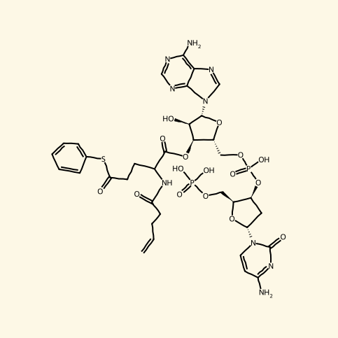 C=CCCC(=O)NC(CCC(=O)Sc1ccccc1)C(=O)O[C@H]1[C@@H](O)[C@H](n2cnc3c(N)ncnc32)O[C@@H]1COP(=O)(O)O[C@H]1C[C@H](n2ccc(N)nc2=O)O[C@H]1COP(=O)(O)O